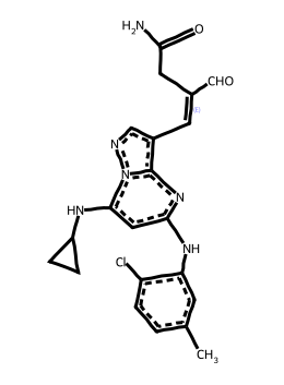 Cc1ccc(Cl)c(Nc2cc(NC3CC3)n3ncc(/C=C(/C=O)CC(N)=O)c3n2)c1